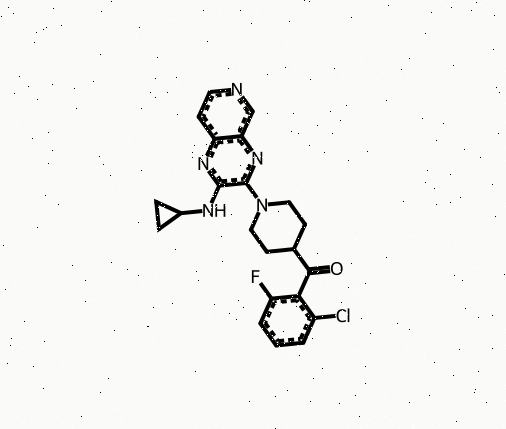 O=C(c1c(F)cccc1Cl)C1CCN(c2nc3cnccc3nc2NC2CC2)CC1